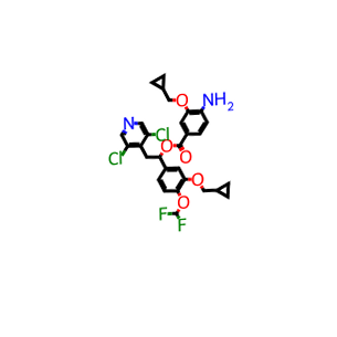 Nc1ccc(C(=O)OC(Cc2c(Cl)cncc2Cl)c2ccc(OC(F)F)c(OCC3CC3)c2)cc1OCC1CC1